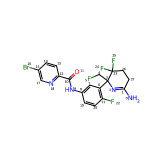 NC1=NC(CF)(c2cc(NC(=O)c3ccc(Br)cn3)ccc2F)C(F)(F)CC1